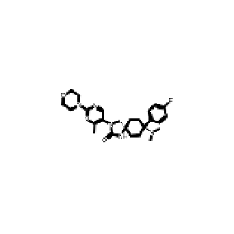 Cc1nc(N2CCOCC2)ncc1N1C[C@]2(CC[C@](c3ccc(F)cc3)(N(C)C)CC2)NC1=O